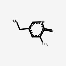 Cc1cc(CN)c[nH]c1=O